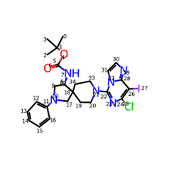 CC(C)(C)OC(=O)N[C@@H]1CN(c2ccccc2)CC12CCN(c1nc(Cl)c(I)c3nccn13)CC2